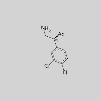 CC(=O)[C@H](CN)c1ccc(Cl)c(Cl)c1